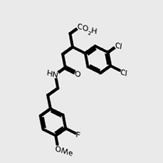 COc1ccc(CCNC(=O)CC(CC(=O)O)c2ccc(Cl)c(Cl)c2)cc1F